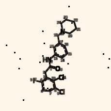 O=C(Cc1c(F)ccc(Cl)c1Cl)Nc1cccc(CN2CCCCC2)c1